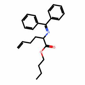 C=CCCC(N=C(c1ccccc1)c1ccccc1)C(=O)OCCCC